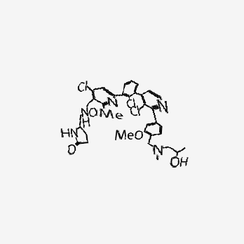 COc1cc(-c2nccc(-c3cccc(-c4cc(Cl)c(CNCC5CCC(=O)N5)c(OC)n4)c3Cl)c2Cl)ccc1CN(C)CC(C)O